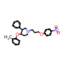 Cc1ccccc1OC1CCN(CCCOc2ccc([N+](=O)[O-])cc2)CC1c1ccccc1